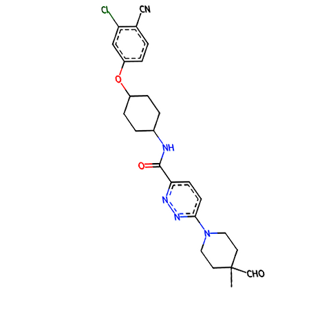 CC1(C=O)CCN(c2ccc(C(=O)NC3CCC(Oc4ccc(C#N)c(Cl)c4)CC3)nn2)CC1